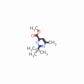 COC(=O)c1cc(C)n[c]([Sn]([CH3])([CH3])[CH3])n1